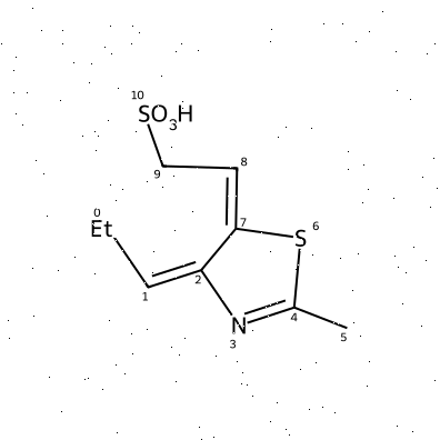 CC/C=c1/nc(C)s/c1=C/CS(=O)(=O)O